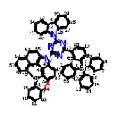 c1ccc([Si](c2ccccc2)(c2ccccc2)c2cccc(-c3nc(-n4c5ccccc5c5ccccc54)nc(-n4c5ccc6c7c5c5c8c(cccc8ccc54)B7c4ccccc4O6)n3)c2)cc1